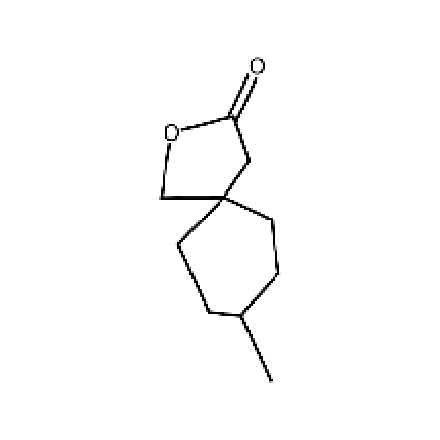 CC1CCC2(CC1)COC(=O)C2